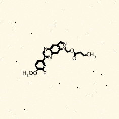 CCCC(=O)OCn1ncc2cc3ncc(-c4ccc(OC)c(F)c4)nc3cc21